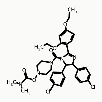 CCOc1ccc(C2=NC(c3ccc(Cl)cc3)C(c3ccc(Cl)cc3)N2C(=O)N2CCN(OC(=O)N(C)C)CC2)c(OCC)c1